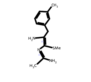 CSC(/N=C(/C)N)=C(/N)Cc1cccc(C)c1